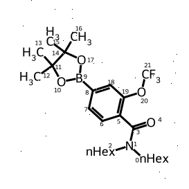 CCCCCCN(CCCCCC)C(=O)c1ccc(B2OC(C)(C)C(C)(C)O2)cc1OC(F)(F)F